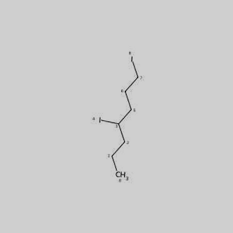 CCCC(I)CCCI